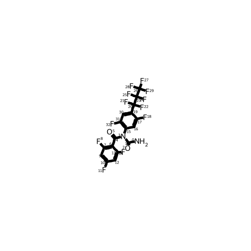 NC(=O)N(C(=O)c1c(F)cc(F)cc1F)c1cc(F)c(C(F)(F)C(F)(F)C(F)(F)F)cc1F